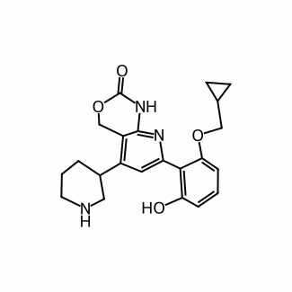 O=C1Nc2nc(-c3c(O)cccc3OCC3CC3)cc(C3CCCNC3)c2CO1